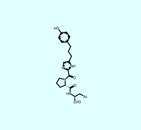 CC(=O)C[C@@H](C=O)NC(=O)[C@@H]1CCCN1C(=O)c1ncc(CCCc2ccc(O)cc2)[nH]1